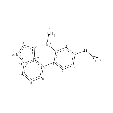 CNc1cc(OC)ccc1-c1cccc2nccn12